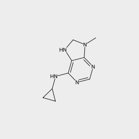 CN1CNc2c(NC3CC3)ncnc21